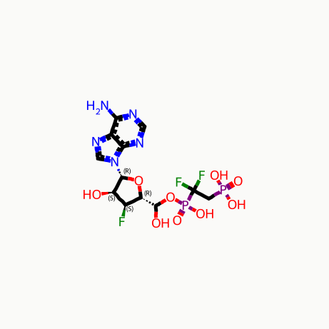 Nc1ncnc2c1ncn2[C@@H]1O[C@H](C(O)OP(=O)(O)C(F)(F)CP(=O)(O)O)[C@@H](F)[C@H]1O